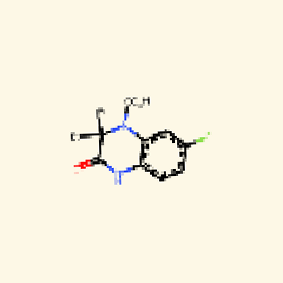 CC[C@]1(C(C)C)C(=O)Nc2ccc(F)cc2N1C(=O)O